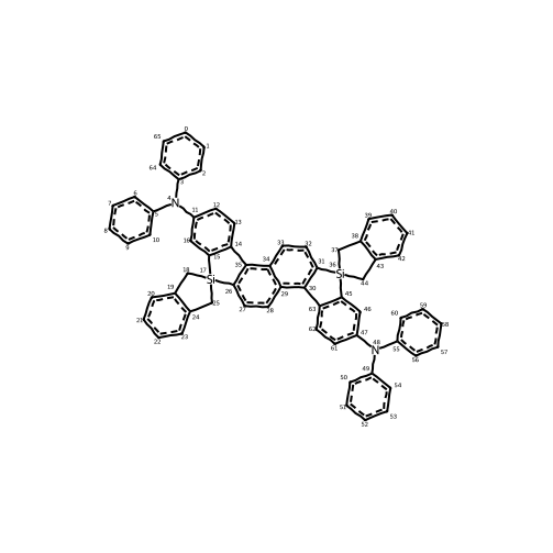 c1ccc(N(c2ccccc2)c2ccc3c(c2)[Si]2(Cc4ccccc4C2)c2ccc4c5c(ccc4c2-3)[Si]2(Cc3ccccc3C2)c2cc(N(c3ccccc3)c3ccccc3)ccc2-5)cc1